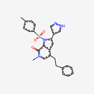 Cc1ccc(S(=O)(=O)n2c(-c3cn[nH]c3)cc3c(CCc4ccccc4)cn(C)c(=O)c32)cc1